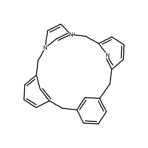 c1cc2cc(c1)Cc1cccc(n1)C[n+]1ccn(c1)Cc1cccc(c1)C2